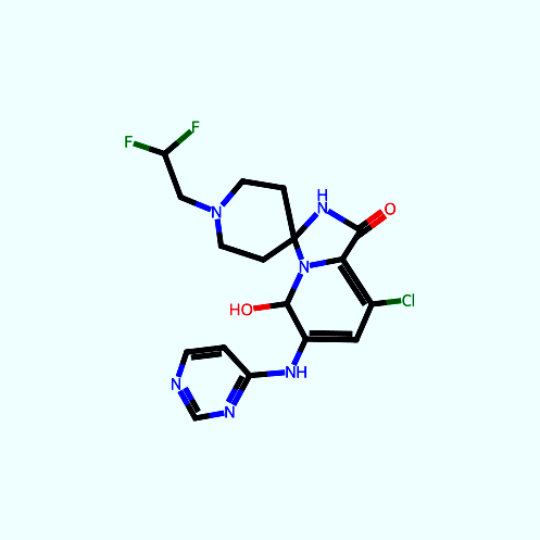 O=C1NC2(CCN(CC(F)F)CC2)N2C1=C(Cl)C=C(Nc1ccncn1)C2O